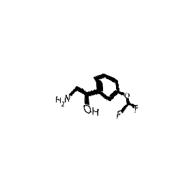 NCC(O)c1cccc(OC(F)F)c1